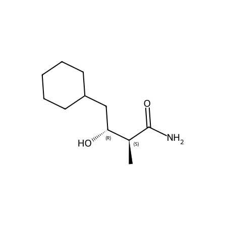 C[C@H](C(N)=O)[C@H](O)CC1CCCCC1